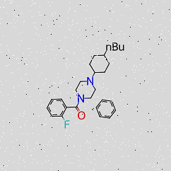 CCCCC1CCC(N2CCN(C(=O)c3ccccc3F)CC2)CC1.c1ccccc1